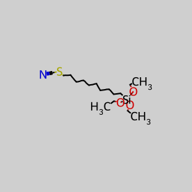 CCO[Si](CCCCCCCCCCSC#N)(OCC)OCC